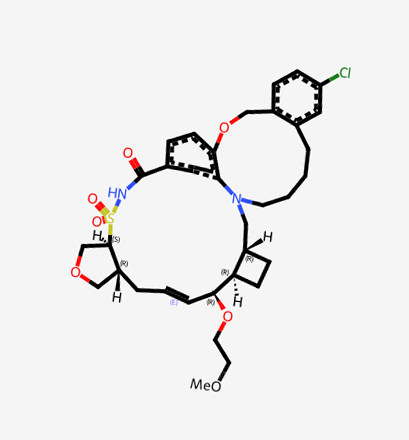 COCCO[C@H]1/C=C/C[C@@H]2COC[C@H]2S(=O)(=O)NC(=O)c2ccc3c(c2)N(CCCCc2cc(Cl)ccc2CO3)C[C@@H]2CC[C@H]21